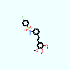 COc1cc(C=Cc2cccc(NS(=O)(=O)c3ccc(F)cc3)c2)cc(OC)c1OC